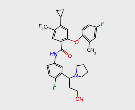 Cc1cc(F)ccc1Oc1cc(C2CC2)c(C(F)(F)F)cc1C(=O)Nc1ccc(F)c(C(CCO)N2CCCC2)c1